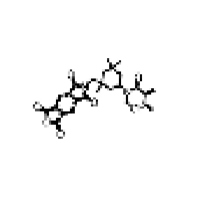 C=CC(=C)C(=O)N(CO)C1CC(C)(C)CC(C)(Cn2c(=O)c3cc4c(=O)oc(=O)c4cc3c2=O)C1